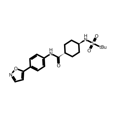 CC(C)(C)S(=O)(=O)N[C@H]1CC[C@H](C(=O)Nc2ccc(-c3ccno3)cc2)CC1